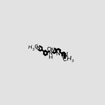 CN1CCC(c2cccc(C(=O)Nc3cc4nc(-c5cnn(C)c5)ccc4cn3)c2)CC1